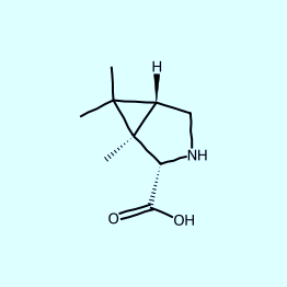 CC1(C)[C@@H]2CN[C@H](C(=O)O)[C@]21C